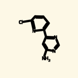 Nc1cc(-c2cccc(Cl)n2)ncn1